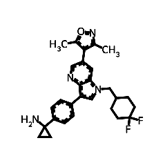 Cc1noc(C)c1-c1cnc2c(-c3ccc(C4(N)CC4)cc3)cn(CC3CCC(F)(F)CC3)c2c1